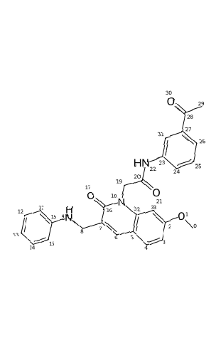 COc1ccc2cc(CNc3ccccc3)c(=O)n(CC(=O)Nc3cccc(C(C)=O)c3)c2c1